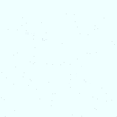 NS(=O)(=O)c1ccc(CNC(=O)O)cc1